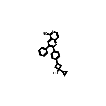 N#Cc1nccc2nc(-c3ccc(C4CC(O)(C5CC5)C4)cc3)c(-c3ccccc3)cc12